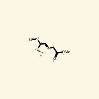 CCSC(C=NCC(=O)OC)SCC